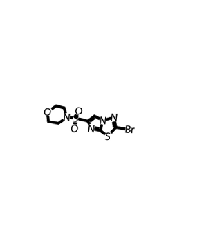 O=S(=O)(c1cn2nc(Br)sc2n1)N1CCOCC1